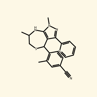 Cc1cc(C#N)ccc1C1SCC(C)Nc2c1c(-c1ccccn1)nn2C